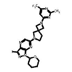 Cc1nc(N2CC3(CCN(c4cnc5c(I)nn(C6CCCCO6)c5n4)C3)C2)cc(C(F)(F)F)n1